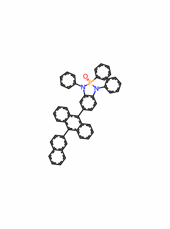 O=P1(c2ccccc2)N(c2ccccc2)c2ccc(-c3c4ccccc4c(-c4ccc5ccccc5c4)c4ccccc34)cc2N1c1ccccc1